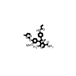 C=CC(=O)Nc1ccc(-c2c(-c3ccc(Oc4nccc(C)n4)c(OC)c3)c3c(N)ncc(C(N)=O)c3n2C)cc1